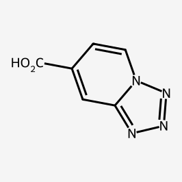 O=C(O)c1ccn2nnnc2c1